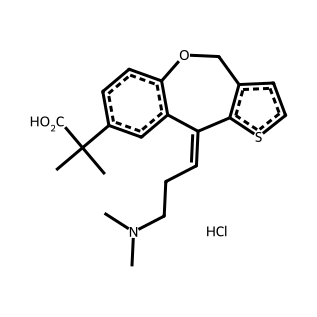 CN(C)CC/C=C1\c2cc(C(C)(C)C(=O)O)ccc2OCc2ccsc21.Cl